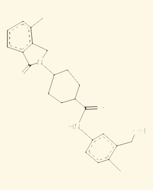 Cc1ccc(NC(=O)C2CCC(N3Cc4c(C)cccc4C3=O)CC2)cc1CO